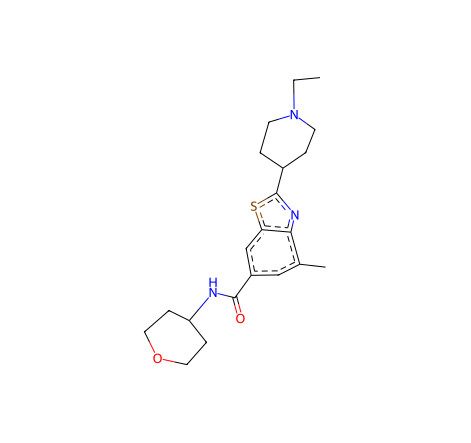 CCN1CCC(c2nc3c(C)cc(C(=O)NC4CCOCC4)cc3s2)CC1